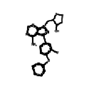 Nc1ncnc2c1c(-c1ccc(Oc3ccccc3)c(F)c1)nn2CC1SSCC1O